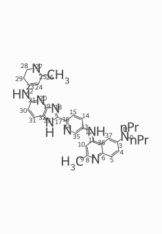 CCCN(CCC)c1ccc2nc(C)cc(Nc3ccc(-c4nc5nc(NC6=CC(C)=NCC6)ccc5[nH]4)nc3)c2c1